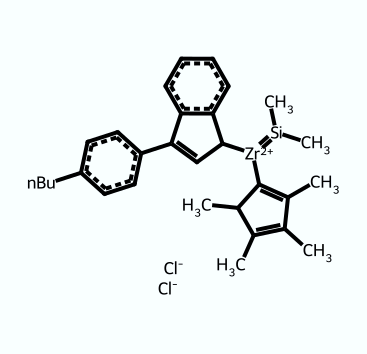 CCCCc1ccc(C2=C[CH]([Zr+2]([C]3=C(C)C(C)=C(C)C3C)=[Si](C)C)c3ccccc32)cc1.[Cl-].[Cl-]